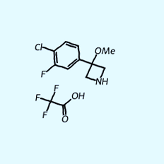 COC1(c2ccc(Cl)c(F)c2)CNC1.O=C(O)C(F)(F)F